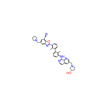 Cc1c(Nc2nccc3cc(CN4CC[C@H](O)C4)cnc23)cccc1-c1cccc(-c2nc3cc(CN4CCCC4)cc(C#N)c3o2)c1C